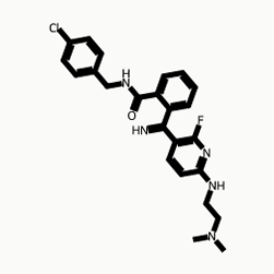 CN(C)CCNc1ccc(C(=N)c2ccccc2C(=O)NCc2ccc(Cl)cc2)c(F)n1